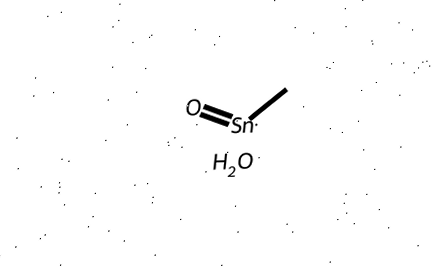 O.[CH3][Sn]=[O]